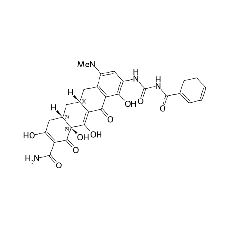 CNc1cc(NC(=O)NC(=O)C2=CC=CCC2)c(O)c2c1C[C@H]1C[C@H]3CC(O)=C(C(N)=O)C(=O)[C@@]3(O)C(O)=C1C2=O